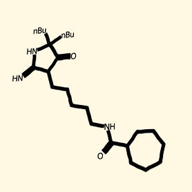 CCCCC1(CCCC)NC(=N)C(CCCCCNC(=O)C2CCCCCC2)C1=O